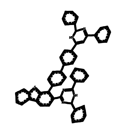 C1=C(c2ccc(-c3ccc(-c4c(C5=NC(c6ccccc6)NC(c6ccccc6)=N5)ccc5c4sc4ccccc45)cc3)cc2)NC(c2ccccc2)N=C1c1ccccc1